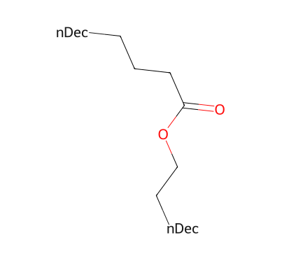 CCCCCCCCCCCCCC(=O)OCCCCCCCCCCCC